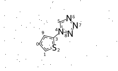 c1csc(-n2cnnn2)c1